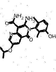 Cc1ccc(O)c(C)c1-n1c(N)c(C(N)=O)c2ncc(OC(C)C)cc2c1=O